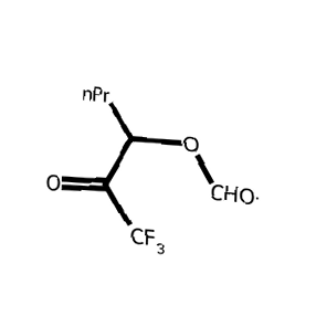 CCCC(O[C]=O)C(=O)C(F)(F)F